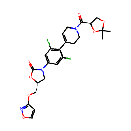 CC1(C)OC[C@H](C(=O)N2CC=C(c3c(F)cc(N4C[C@H](COc5ccon5)OC4=O)cc3F)CC2)O1